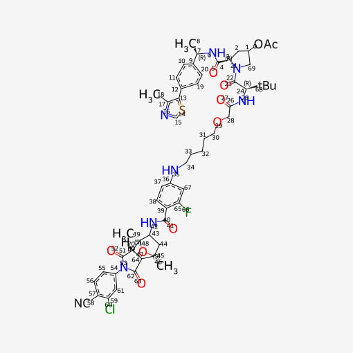 CC(=O)OC1C[C@H](C(=O)N[C@H](C)c2ccc(-c3scnc3C)cc2)N(C(=O)[C@H](NC(=O)COCCCCCNc2ccc(C(=O)NC3C[C@]4(C)O[C@@]3(C)[C@H]3C(=O)N(c5ccc(C#N)c(Cl)c5)C(=O)C34)c(F)c2)C(C)(C)C)C1